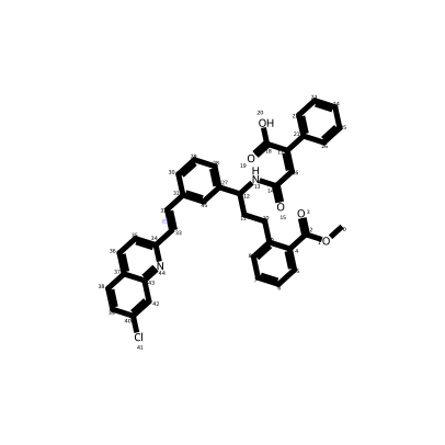 COC(=O)c1ccccc1CCC(NC(=O)C=C(C(=O)O)c1ccccc1)c1cccc(/C=C/c2ccc3ccc(Cl)cc3n2)c1